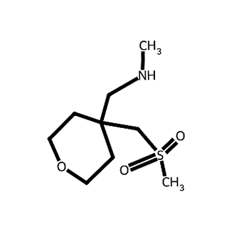 CNCC1(CS(C)(=O)=O)CCOCC1